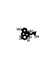 C[N@+]1(CC2(O)CC2O)CC[C@]23c4c5ccc(O)c4C[C@H]2C(=O)CC[C@@]3(O)[C@H]1C5